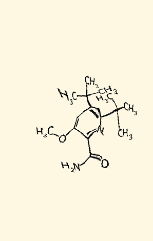 COc1cc(C(C)(C)C)c(C(C)(C)C)nc1C(N)=O